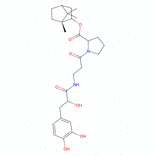 CC1(C)C2CC[C@@]1(C)C(OC(=O)C1CCCN1C(=O)CCNC(=O)C(O)Cc1ccc(O)c(O)c1)C2